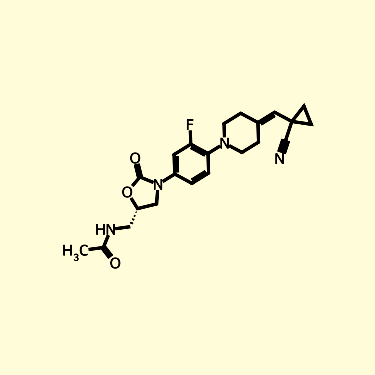 CC(=O)NC[C@H]1CN(c2ccc(N3CCC(=CC4(C#N)CC4)CC3)c(F)c2)C(=O)O1